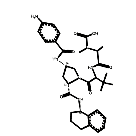 CC(C(=O)NC(C(=O)N1C[C@@H](NC(=O)c2ccc(N)cc2)C[C@H]1C(=O)N[C@@H]1CCCc2ccccc21)C(C)(C)C)N(C)C(=O)O